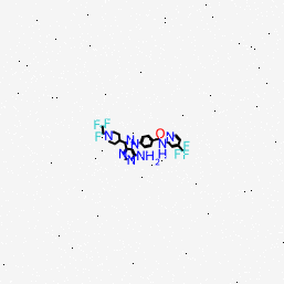 Nc1ncnc2c(C3CCN(C(F)C(F)F)CC3)nn(-c3ccc(C(=O)Nc4cc(C(F)(F)F)ccn4)cc3)c12